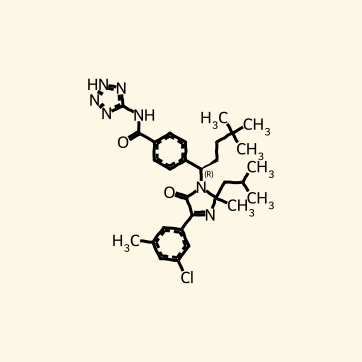 Cc1cc(Cl)cc(C2=NC(C)(CC(C)C)N([C@H](CCC(C)(C)C)c3ccc(C(=O)Nc4nn[nH]n4)cc3)C2=O)c1